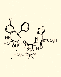 CC1(C)S[C@@H]2[C@H](NC(=O)[C@H](C(=O)O)c3ccsc3)C(=O)N2[C@H]1C(=O)O.O=C(O)C1N=C(c2ccccc2)c2cc(Cl)ccc2NC1(O)O